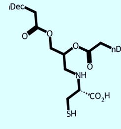 CCCCCCCCCCCC(=O)OCC(CN[C@@H](CS)C(=O)O)OC(=O)CCCCCCCCCCC